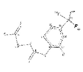 C=C(CSC(=C)C)Cc1ccc(C(C)(F)F)cc1C